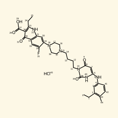 CCc1cc(Nc2cc(=O)n(CCCCN3CCN(c4cc5[nH]c(CC)c(C(=O)O)c(=O)c5cc4F)CC3)c(=O)[nH]2)ccc1C.Cl